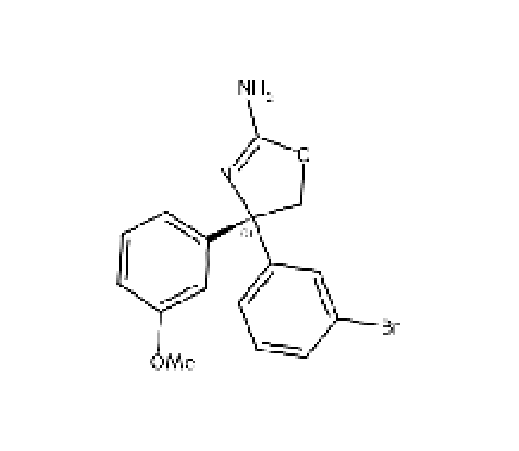 COc1cccc([C@]2(c3cccc(Br)c3)COC(N)=N2)c1